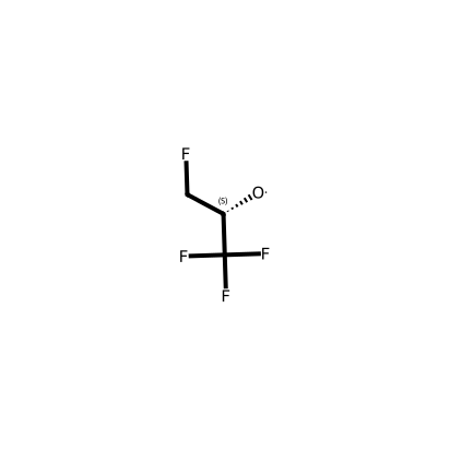 [O][C@@H](CF)C(F)(F)F